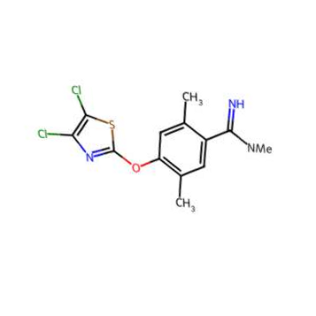 CNC(=N)c1cc(C)c(Oc2nc(Cl)c(Cl)s2)cc1C